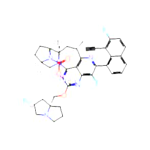 C#Cc1c(F)ccc2cccc(-c3nc4c5c(nc(OC[C@@]67CCCN6C[C@H](F)C7)nc5c3F)N3C[C@H]5CC[C@@H]([C@@H]3C[C@H]4C)N5C(=O)OC(C)(C)C)c12